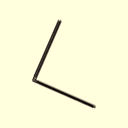 [Cr].[Cr].[Cr].[Cr].[Cr].[Ni].[Ni].[Ni].[Ni].[Ni].[Ni].[Ni].[Ni].[Ni].[Ni].[Ni].[Ni].[Ni].[Ni].[Ni].[Ni].[Ni].[Ni].[Ni].[Ni].[Ni].[Ni].[Ni].[Ni].[Ni].[Ni].[Ni].[Ni].[Ni].[Ni].[Ni].[Ni].[Ni].[Ni].[Ni].[Ni].[Ni].[Ni].[Ni].[Ni].[Ni].[Ni].[Ni].[Ni].[Ni].[Ni].[Ni].[Ni].[Ni].[Ni].[Ni].[Ni].[Ni].[Ni].[Ni].[Ni].[Ni].[Ni].[Ni].[Ni].[Ni].[Ni].[Ni].[Ni].[Ni].[Ni].[Ni].[Ni].[Ni].[Ni].[Ni].[Ni].[Ni].[Ni].[Ni].[Ni].[Ni].[Ni].[Ni].[Ni].[Ni].[Ni].[Ni].[Ni].[Ni].[Ni].[Ni].[Ni].[Ni].[Ni].[Ni].[Ni].[Ni].[Ni].[Ni]